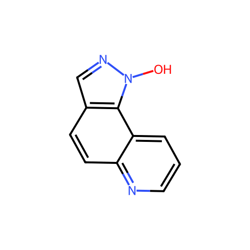 On1ncc2ccc3ncccc3c21